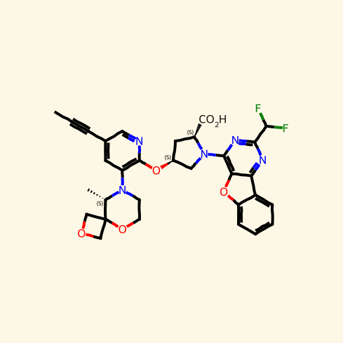 CC#Cc1cnc(O[C@H]2C[C@@H](C(=O)O)N(c3nc(C(F)F)nc4c3oc3ccccc34)C2)c(N2CCOC3(COC3)[C@@H]2C)c1